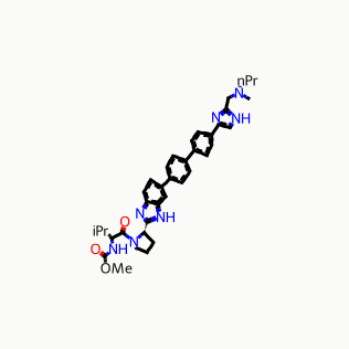 CCCN(C)Cc1nc(-c2ccc(-c3ccc(-c4ccc5nc([C@@H]6CCCN6C(=O)C(NC(=O)OC)C(C)C)[nH]c5c4)cc3)cc2)c[nH]1